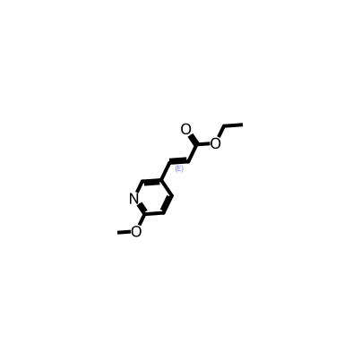 CCOC(=O)/C=C/c1ccc(OC)nc1